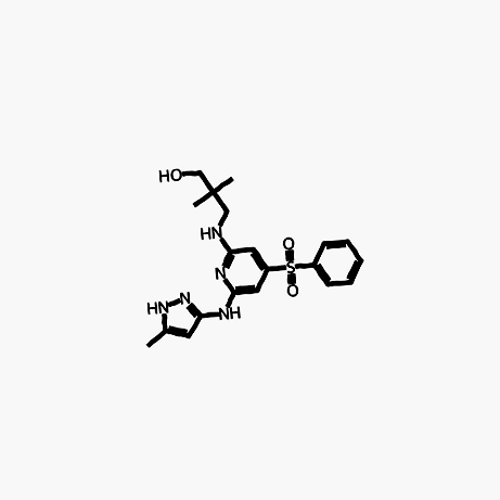 Cc1cc(Nc2cc(S(=O)(=O)c3ccccc3)cc(NCC(C)(C)CO)n2)n[nH]1